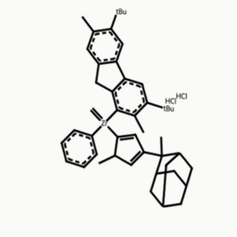 Cl.Cl.[CH2]=[Zr]([C]1=CC(C2(C)C3CC4CC(C3)CC2C4)=CC1C)([c]1ccccc1)[c]1c(C)c(C(C)(C)C)cc2c1Cc1cc(C)c(C(C)(C)C)cc1-2